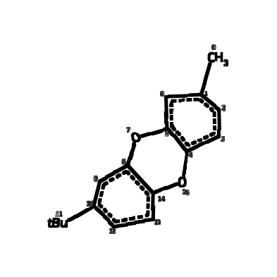 Cc1ccc2c(c1)Oc1cc(C(C)(C)C)ccc1O2